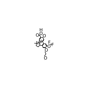 COCCCOc1cc2c(cc1OC(F)F)-c1cc(=O)c(C(=O)O)cn1N1C2CCC1(C)C